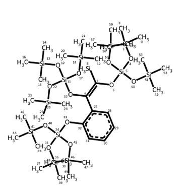 C[Si](C)(C)O[Si](OC([SiH3])=C(O[Si](O[Si](C)(C)C)(O[Si](C)(C)C)O[Si](C)(C)C)c1ccccc1O[Si](O[Si](C)(C)C)(O[Si](C)(C)C)O[Si](C)(C)C)(O[Si](C)(C)C)O[Si](C)(C)C